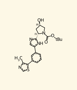 Cc1ncsc1-c1cccc(-c2cnc([C@@H]3C[C@@H](O)CN3C(=O)OC(C)(C)C)[nH]2)c1